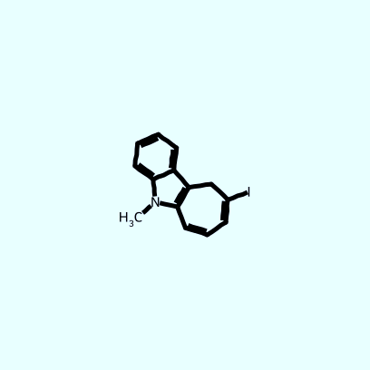 Cn1c2c(c3ccccc31)CC(I)=CC=C2